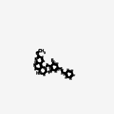 COc1ccc2c3c(cnc2n1)NCCN3Cc1c(F)cc(SCc2ccccc2)cc1F